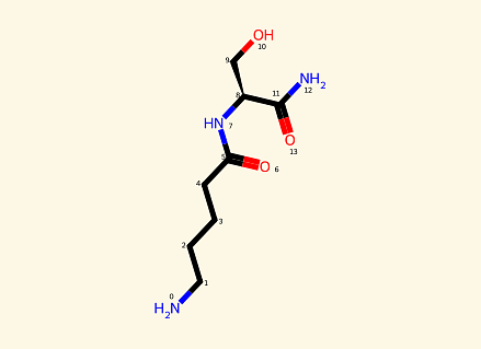 NCCCCC(=O)N[C@@H](CO)C(N)=O